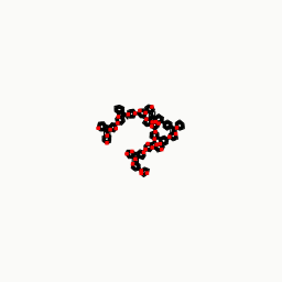 c1ccc(-c2cccc(-n3c4ccccc4c4cc(-c5ccc6c(c5)-c5ccccc5C6c5ccc(-c6ccccc6)cc5-c5cccc(-c6cccc(N(c7ccccc7)c7ccc(-c8ccc9c(c8)c8cccc(-c%10cccc(-c%11ccc(-n%12c%13ccccc%13c%13cc(-c%14ccc%15c(c%14)c%14ccccc%14n%15-c%14ccccc%14)ccc%13%12)cc%11)c%10)c8n9-c8ccccc8)cc7)c6)c5)ccc43)c2)cc1